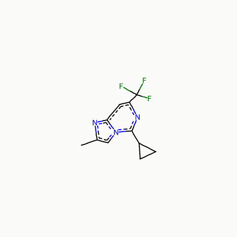 Cc1cn2c(C3CC3)nc(C(F)(F)F)cc2n1